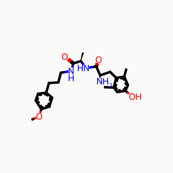 COc1ccc(CCCNC(=O)[C@@H](C)NC(=O)[C@@H](N)Cc2c(C)cc(O)cc2C)cc1